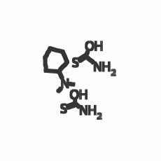 CN(C)C1CCCCC1.NC(O)=S.NC(O)=S